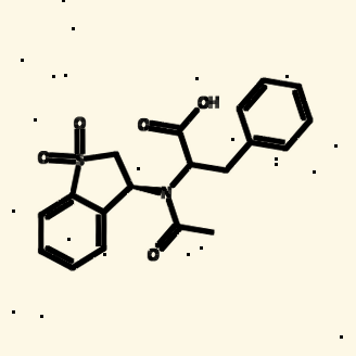 CC(=O)N(C(Cc1ccccc1)C(=O)O)[C@@H]1CS(=O)(=O)c2ccccc21